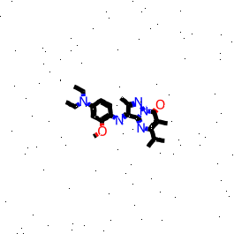 CCN(CC)c1ccc(N=C2C(C)=Nn3c2nc(C(C)C)c(C)c3=O)c(OC)c1